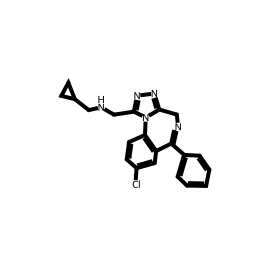 Clc1ccc2c(c1)C(c1ccccc1)=NCc1nnc(CNCC3CC3)n1-2